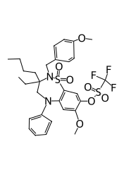 CCCCC1(CC)CN(c2ccccc2)c2cc(OC)c(OS(=O)(=O)C(F)(F)F)cc2S(=O)(=O)N1Cc1ccc(OC)cc1